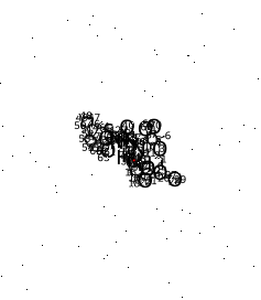 C=CCOc1c(C)c2c(c3c1CC1[C@H]4c5c(cc(C)c(OC)c5OCOCCOC)C[C@@H]([C@H](C#N)N1[C@H]3CNC(=O)[C@@H](CSCC1c3ccccc3-c3ccccc31)NC(=O)OC(C)(C)C)N4C)OCO2